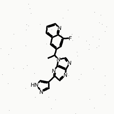 CC(c1cc(F)c2ncccc2c1)n1cnc2ncc(-c3cn[nH]c3)nc21